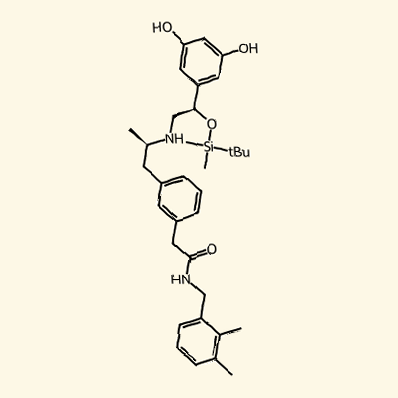 Cc1cccc(CNC(=O)Cc2cccc(C[C@@H](C)NC[C@H](O[Si](C)(C)C(C)(C)C)c3cc(O)cc(O)c3)c2)c1C